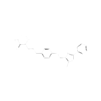 CCOC(=O)OC(CCCc1ccc(OCc2nc(-c3ccccc3)sc2C)cc1)C(N)=O